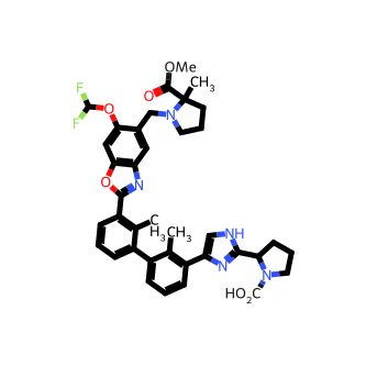 COC(=O)C1(C)CCCN1Cc1cc2nc(-c3cccc(-c4cccc(-c5c[nH]c(C6CCCN6C(=O)O)n5)c4C)c3C)oc2cc1OC(F)F